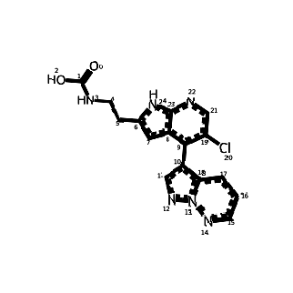 O=C(O)NCCc1cc2c(-c3cnn4ncccc34)c(Cl)cnc2[nH]1